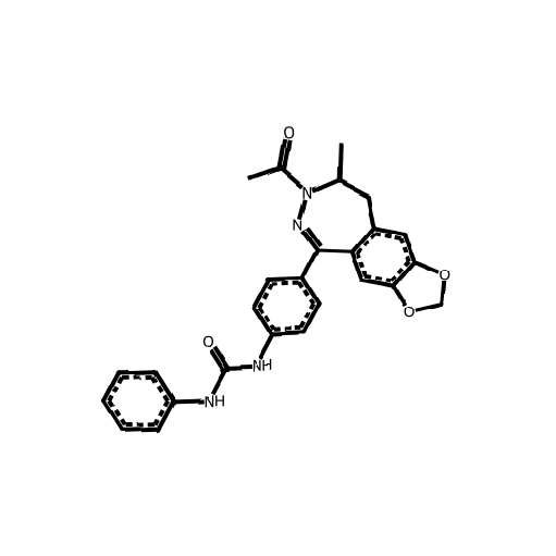 CC(=O)N1N=C(c2ccc(NC(=O)Nc3ccccc3)cc2)c2cc3c(cc2CC1C)OCO3